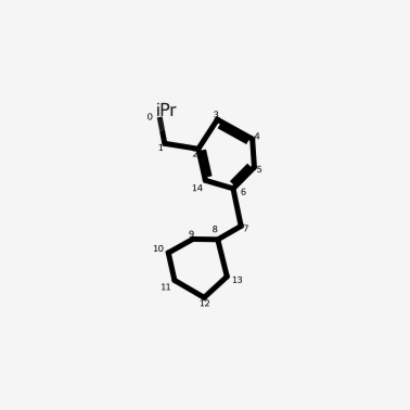 CC(C)Cc1cccc(CC2CCCCC2)c1